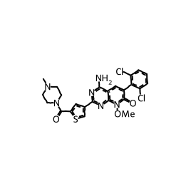 COn1c(=O)c(-c2c(Cl)cccc2Cl)cc2c(N)nc(-c3csc(C(=O)N4CCN(C)CC4)c3)nc21